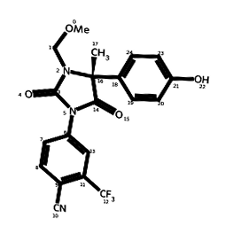 COCN1C(=O)N(c2ccc(C#N)c(C(F)(F)F)c2)C(=O)[C@@]1(C)c1ccc(O)cc1